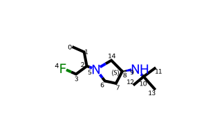 CCC(CF)N1CC[C@H](NC(C)(C)C)C1